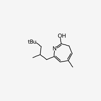 CC1=CCC(O)=NC(CC(C)CC(C)(C)C)=C1